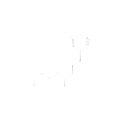 CC(C)CCCC(C)CCC(=O)c1cccnc1